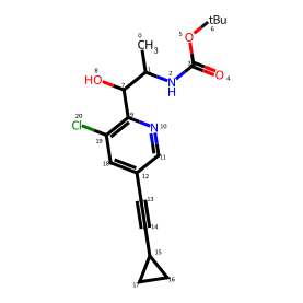 CC(NC(=O)OC(C)(C)C)C(O)c1ncc(C#CC2CC2)cc1Cl